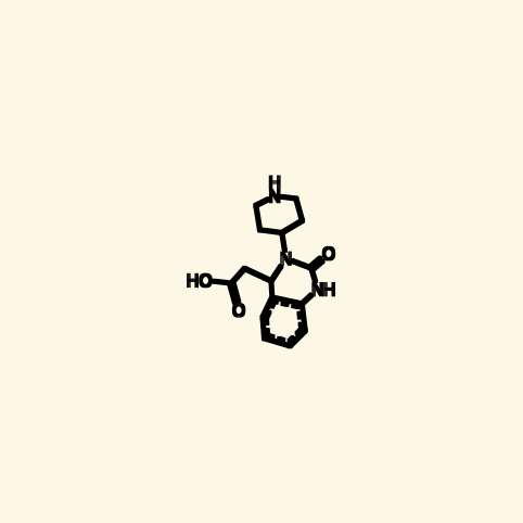 O=C(O)CC1c2ccccc2NC(=O)N1C1CCNCC1